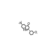 COc1cccc(-c2cc(=O)c3cc(N(C)C)ccc3[nH]2)c1